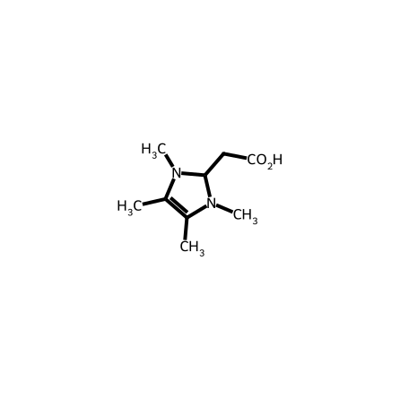 CC1=C(C)N(C)C(CC(=O)O)N1C